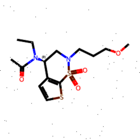 CCN(C(C)=O)[C@H]1CN(CCCOC)S(=O)(=O)c2sccc21